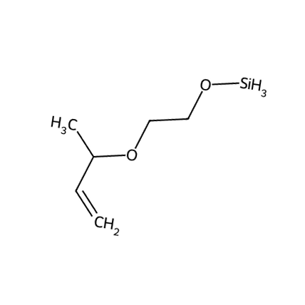 C=CC(C)OCCO[SiH3]